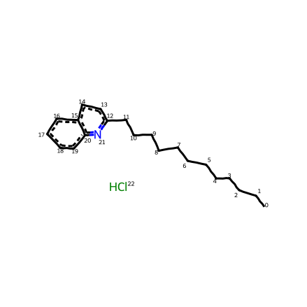 CCCCCCCCCCCCc1ccc2ccccc2n1.Cl